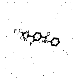 O=C(Nc1ccccc1)c1ccc(-c2noc(C(F)(F)F)n2)c(F)c1